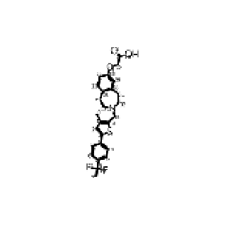 Cc1cc(-c2ccc(C(C)(F)F)cc2)sc1CN1CCc2ccc(OCC(=O)O)cc2CC1